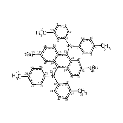 Cc1ccc(N(c2cccc(C)c2)c2c3ccc(C(C)(C)C)cc3c(N(c3ccc(C)cc3)c3cccc(C)c3)c3ccc(C(C)(C)C)cc23)cc1